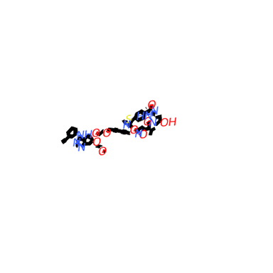 C#Cc1cccc(Nc2ncnc3cc(OCCOC)c(OCCOCC#CC#CCOc4cc([C@@H](C(=O)N5C[C@H](O)C[C@H]5C5=NC(=O)[C@](C)(c6ccc(-c7scnc7C)cc6)N5)C(C)C)on4)cc23)c1